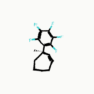 C[C@]1(c2c(F)c(F)c(F)c(F)c2F)C=CCCCC1